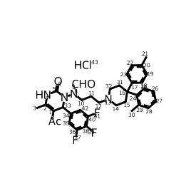 CC(=O)C1=C(C)NC(=O)N(N(C=O)CCCN2CCC(c3ccc(C)cc3)(c3ccccc3C)CC2)C1c1cc(F)c(F)c(F)c1.Cl